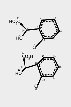 O=C(O)[C@H](O)c1ccccc1Cl.O=C(O)[C@H](O)c1ccccc1Cl